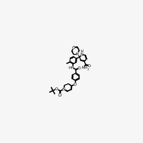 Cc1ccc(C2(N3CCOCC3)C=C(C(N)=O)C=CN2)cc1NC(=O)c1ccc(OC2CCN(C(=O)OC(C)(C)C)CC2)cc1